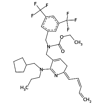 C=C/C=C\C=C1/CC=C(CN(Cc2cc(C(F)(F)F)cc(C(F)(F)F)c2)C(=O)OCC)C(N(CCC)CC2CCCC2)=N1